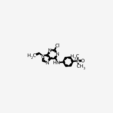 C=Cn1cnc2c(Nc3ccc(P(C)(C)=O)cc3)nc(Cl)nc21